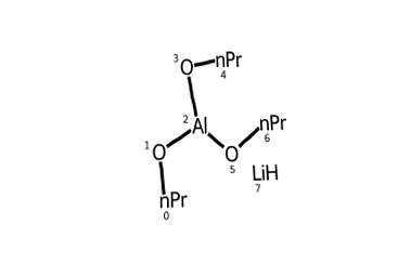 CCC[O][Al]([O]CCC)[O]CCC.[LiH]